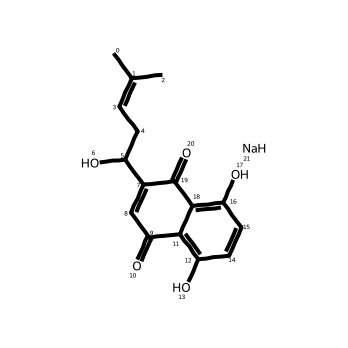 CC(C)=CCC(O)C1=CC(=O)c2c(O)ccc(O)c2C1=O.[NaH]